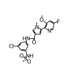 COc1cc(F)cnc1-c1cc(C(=O)Nc2cc(Cl)cc(NS(C)(=O)=O)c2)cn1C